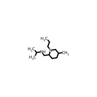 CCCN1CC(C)CCC1CNC(C)C